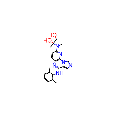 Cc1cccc(C)c1Nc1nc2ccc(N(C)C(C)(O)CO)nc2n2cncc12